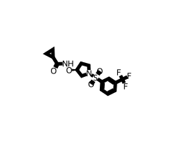 O=C(NO[C@H]1CCN(S(=O)(=O)c2cccc(C(F)(F)F)c2)C1)C1CC1